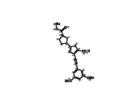 COc1cc(C#Cc2nc(C3CCN(C(=O)OC(C)(C)C)C3)sc2C(=O)O)cc(OC)c1